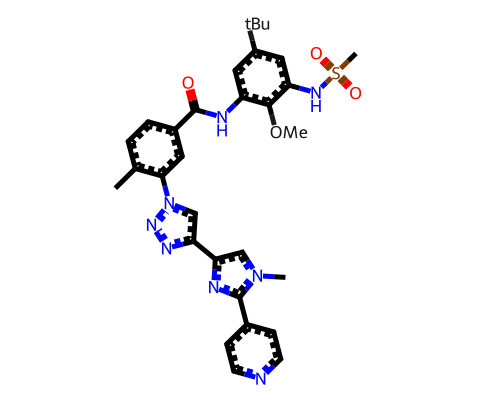 COc1c(NC(=O)c2ccc(C)c(-n3cc(-c4cn(C)c(-c5ccncc5)n4)nn3)c2)cc(C(C)(C)C)cc1NS(C)(=O)=O